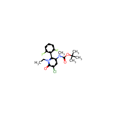 CCn1c(-c2c(F)cccc2F)c(N(C)C(=O)OC(C)(C)C)cc(Cl)c1=O